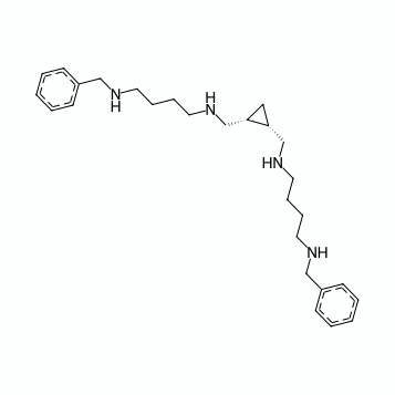 c1ccc(CNCCCCNC[C@@H]2C[C@@H]2CNCCCCNCc2ccccc2)cc1